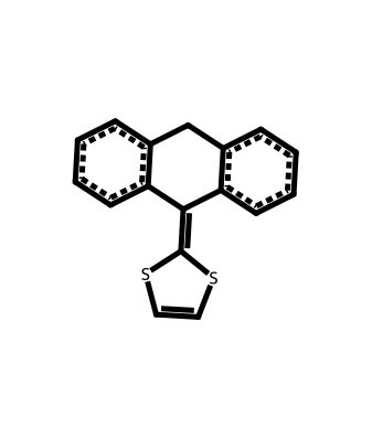 C1=CSC(=C2c3ccccc3Cc3ccccc32)S1